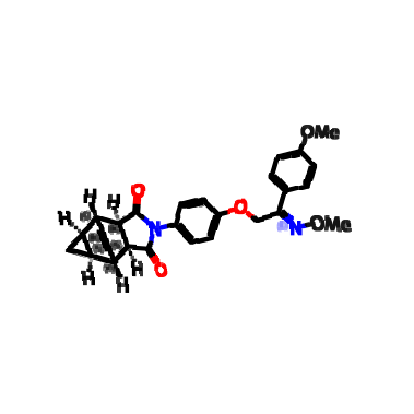 CO/N=C(/COc1ccc(N2C(=O)[C@@H]3[C@@H]4C=C[C@@H]([C@H]5C[C@@H]45)[C@@H]3C2=O)cc1)c1ccc(OC)cc1